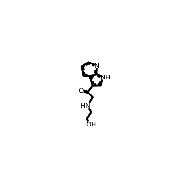 O=C(CNCCO)c1c[nH]c2ncccc12